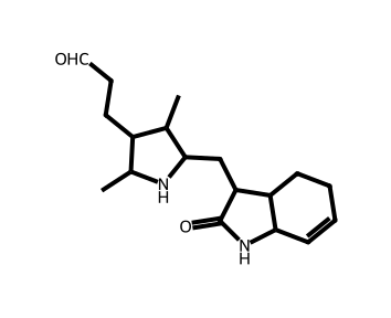 CC1NC(CC2C(=O)NC3C=CCCC32)C(C)C1CCC=O